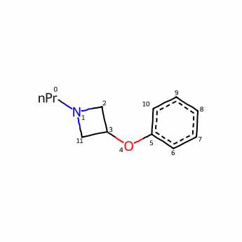 CCCN1CC(Oc2ccccc2)C1